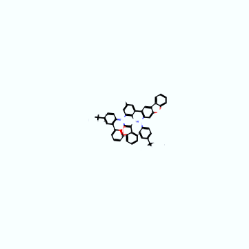 Cc1cc2c3c(c1)N(c1ccc(C(C)(C)C)cc1-c1ccccc1)c1oc4ccccc4c1B3N(c1ccc(C(C)(C)C)cc1)c1cc3oc4ccccc4c3cc1-2